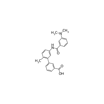 Cc1ccc(NC(=O)c2cccc(N(C)C)c2)cc1-c1cccc(C(=O)O)c1